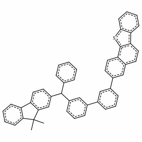 CC1(C)c2ccccc2-c2ccc(C(c3ccccc3)c3cccc(-c4cccc(-c5ccc6c(ccc7c8ccccc8sc67)c5)c4)c3)cc21